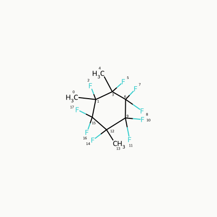 CC1(F)C(C)(F)C(F)(F)C(F)(F)C(C)(F)C1(F)F